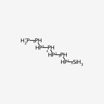 [SiH3]PPPPPPP